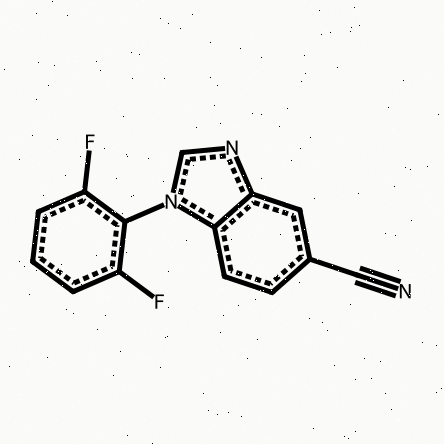 N#Cc1ccc2c(c1)ncn2-c1c(F)cccc1F